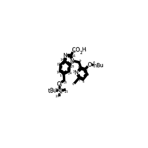 CCCCOc1ccc(C)nc1Cn1c(C(=O)O)nc2ccc(CO[Si](C)(C)C(C)(C)C)cc21